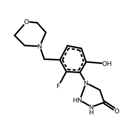 O=C1CN(c2c(O)ccc(CN3CCOCC3)c2F)NN1